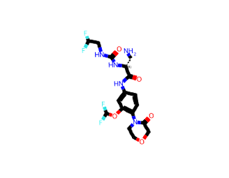 NC[C@@H](NC(=O)NCC(F)F)C(=O)Nc1ccc(N2CCOCC2=O)c(OC(F)F)c1